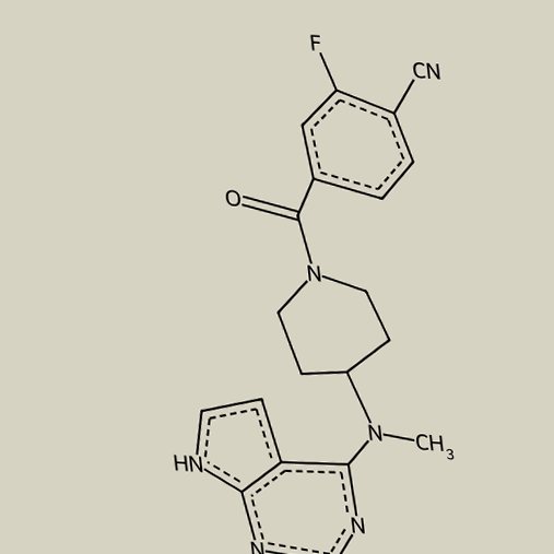 CN(c1ncnc2[nH]ccc12)C1CCN(C(=O)c2ccc(C#N)c(F)c2)CC1